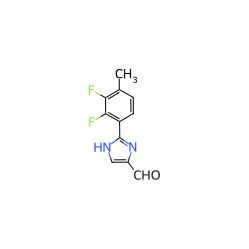 Cc1ccc(-c2nc(C=O)c[nH]2)c(F)c1F